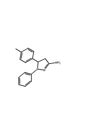 Cc1ccc(C2CC(N)=NN2c2ccccc2)cc1